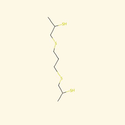 CC(S)CSCCCSCC(C)S